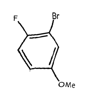 COc1[c]cc(F)c(Br)c1